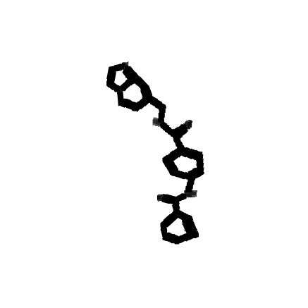 O=C(NCc1ccn2ccnc2c1)c1ccc(NC(=O)c2ccccc2)cc1